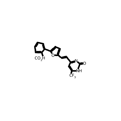 O=C(O)c1ccccc1-c1ccc(/C=C/c2cc(C(F)(F)F)[nH]c(=O)n2)o1